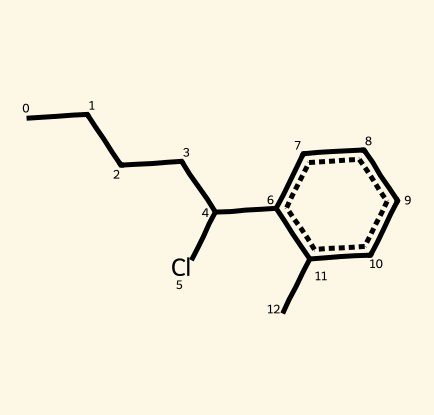 CCCCC(Cl)c1ccccc1C